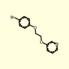 Brc1ccc(OCCOc2cccnc2)cc1